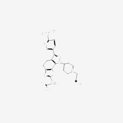 C#CCN1CCC(n2nc(-c3ccc(NC)nc3)c3c2-c2sc(NC(C)=O)nc2CC3)CC1